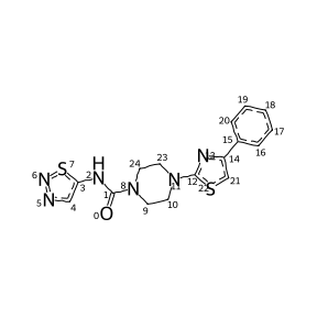 O=C(Nc1cnns1)N1CCN(c2nc(-c3ccccc3)cs2)CC1